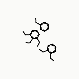 CCc1cccc(CC)c1CC.CCc1ccccc1.CCc1ccccc1CC